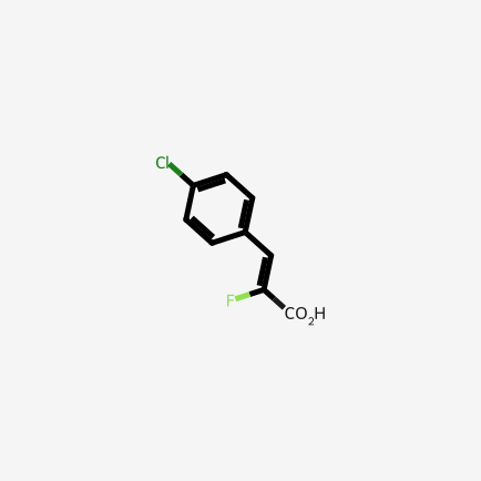 O=C(O)C(F)=Cc1ccc(Cl)cc1